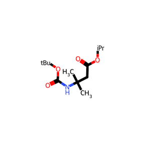 CC(C)OC(=O)CC(C)(C)NC(=O)OC(C)(C)C